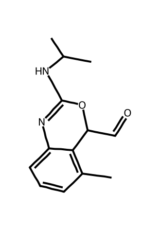 Cc1cccc2c1C(C=O)OC(NC(C)C)=N2